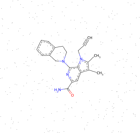 C#CCn1c(C)c(C)c2cc(C(N)=O)nc(N3CCc4ccccc4C3)c21